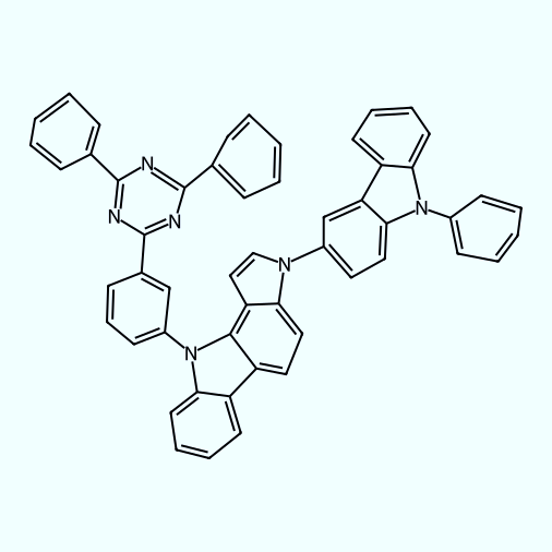 c1ccc(-c2nc(-c3ccccc3)nc(-c3cccc(-n4c5ccccc5c5ccc6c(ccn6-c6ccc7c(c6)c6ccccc6n7-c6ccccc6)c54)c3)n2)cc1